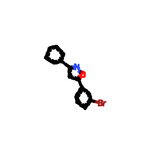 Brc1cccc(-c2cc(-c3ccccc3)no2)c1